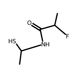 CC(S)NC(=O)C(C)F